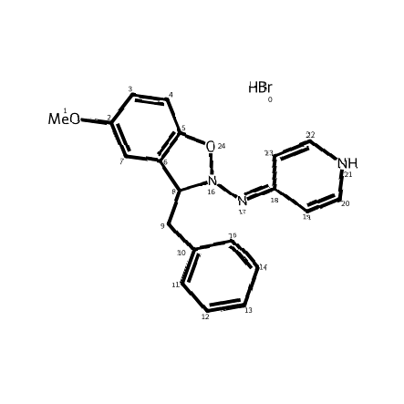 Br.COc1ccc2c(c1)C(Cc1ccccc1)N(N=c1cc[nH]cc1)O2